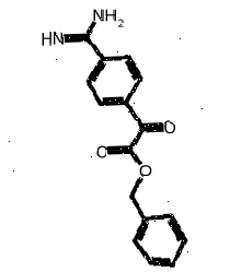 N=C(N)c1ccc(C(=O)C(=O)OCc2ccccc2)cc1